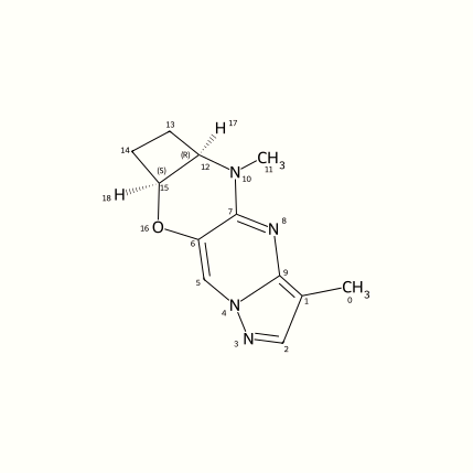 Cc1cnn2cc3c(nc12)N(C)[C@@H]1CC[C@@H]1O3